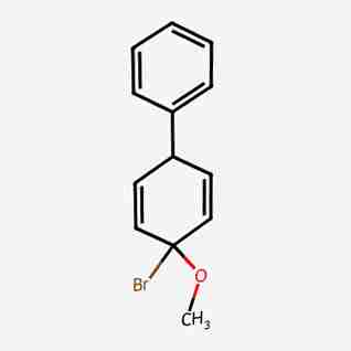 COC1(Br)C=CC(c2ccccc2)C=C1